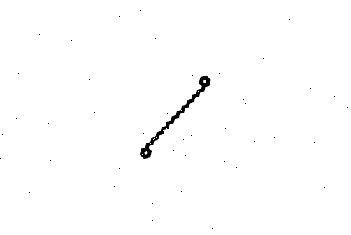 c1ccc(CCCCCCCCCCCCCCCCCCCCCCc2ccccc2)cc1